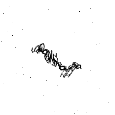 COc1ccc(C)cc1NC(=O)Nc1ccc(N2CCN(C(=O)Nc3ccc(NS(C)(=O)=O)cc3Cl)CC2)cc1